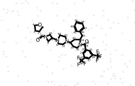 O=C([C@@H]1CCOC1)N1CC(N2CCN(C3CCN(C(=O)c4cc(C(F)(F)F)cc(C(F)(F)F)c4)C(Cc4ccccc4)C3)CC2)C1